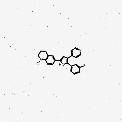 [O-][S+]1CCCc2cc(-c3cc(-c4ccncc4)c(-c4cccc(F)c4)[nH]3)ccc21